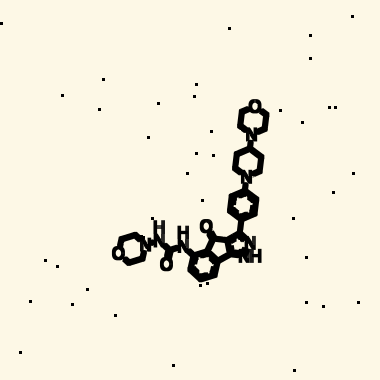 O=C(Nc1cccc2c1C(=O)c1c(-c3ccc(N4CCC(N5CCOCC5)CC4)cc3)n[nH]c1-2)NN1CCOCC1